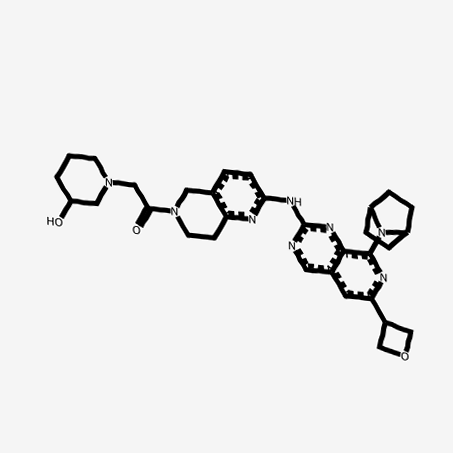 O=C(CN1CCCC(O)C1)N1CCc2nc(Nc3ncc4cc(C5COC5)nc(N5C6CCC5CC6)c4n3)ccc2C1